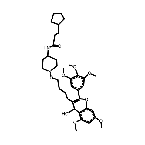 COc1cc(OC)c2c(c1)OC(c1cc(OC)c(OC)c(OC)c1)=C(CCCCON1CCC(NC(=O)CCC3CCCC3)CC1)C2O